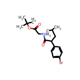 CC(C)CC(C(=O)NCC(=O)OC(C)(C)C)c1ccc(Br)cc1